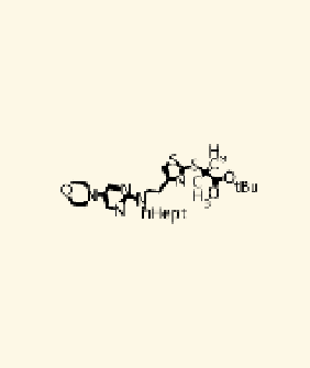 CCCCCCCN(CCc1csc(SC(C)(C)C(=O)OC(C)(C)C)n1)c1ncc(N2CCOCC2)cn1